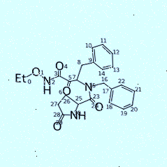 CCONC(=O)C(=O)C(Cc1ccccc1)N(Cc1ccccc1)C(=O)C1CCC(=O)N1